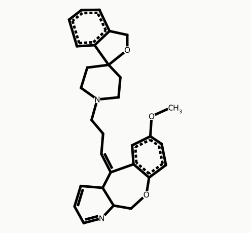 COc1ccc2c(c1)C(=CCCN1CCC3(CC1)OCc1ccccc13)C1C=CC=NC1CO2